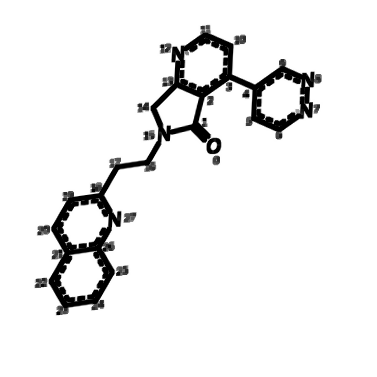 O=C1c2c(-c3ccnnc3)ccnc2CN1CCc1ccc2ccccc2n1